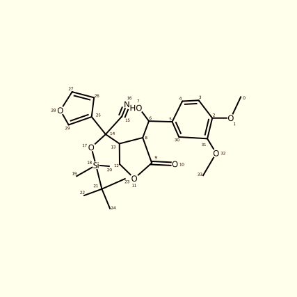 COc1ccc(C(O)C2C(=O)OCC2C(C#N)(O[Si](C)(C)C(C)(C)C)c2ccoc2)cc1OC